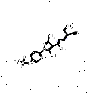 C=C/C(C#N)=C\C=C(/C)c1c(C)nn(-c2ccc(NS(C)(=O)=O)cn2)c1O